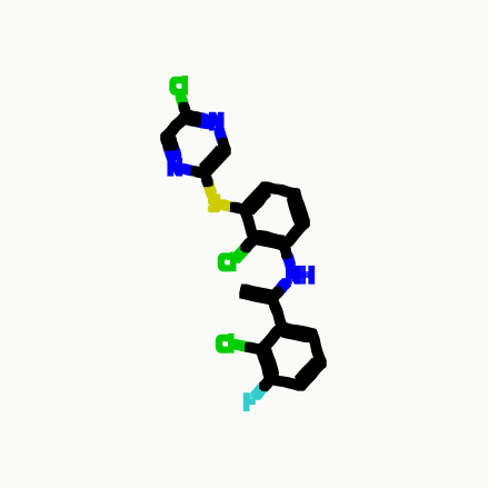 C=C(Nc1cccc(Sc2cnc(Cl)cn2)c1Cl)c1cccc(F)c1Cl